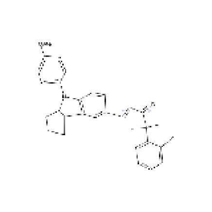 C/N=C(\C=C\c1ccc2c(c1)C1CCCC1N2c1ccc(OC)cc1)C(C)(C)c1ccccc1C